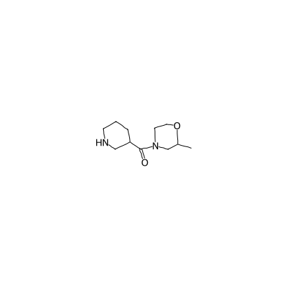 CC1CN(C(=O)C2CCCNC2)CCO1